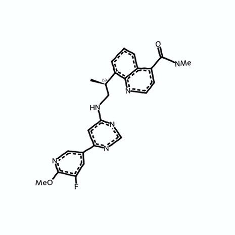 CNC(=O)c1ccnc2c([C@H](C)CNc3cc(-c4cnc(OC)c(F)c4)ncn3)cccc12